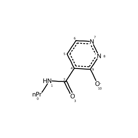 CCCNC(=O)c1ccnnc1[O]